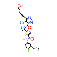 CC(NC(=O)c1ncnc(C#CCCCO)c1Cl)c1ncc(C(=O)Nc2ccc(F)c(C(F)(F)F)c2)s1